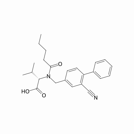 CCCCC(=O)N(Cc1ccc(-c2ccccc2)c(C#N)c1)[C@H](C(=O)O)C(C)C